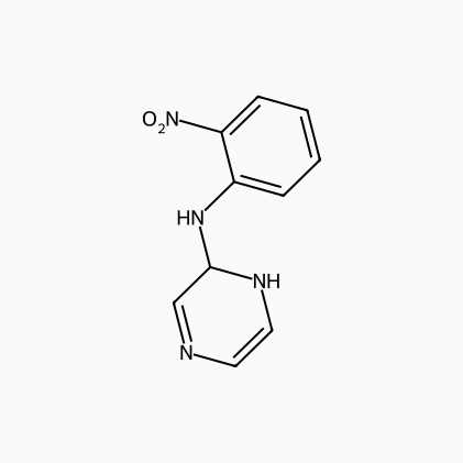 O=[N+]([O-])c1ccccc1NC1C=NC=CN1